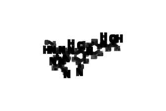 CCNc1nc(Nc2cc(C#N)cc(N3CCC(NCC(C)O)CC3)c2Cl)nn2c(C#N)cnc12